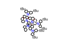 CC(C)(C)c1ccc2c(c1)c1cc(C(C)(C)C)ccc1n2C1=C2C=CC=CC2C(C)(N(c2cc(N(c3cccc4ccccc34)c3ccc(-n4c5ccc(C(C)(C)C)cc5c5cc(C(C)(C)C)ccc54)c4ccccc34)cc(N(c3cccc4ccccc34)c3ccc(-n4c5ccc(C(C)(C)C)cc5c5cc(C(C)(C)C)ccc54)c4ccccc34)c2)c2cccc3ccccc23)C=C1